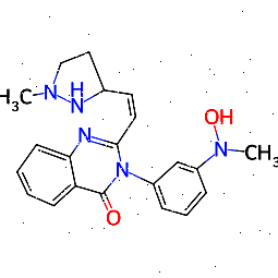 CN1CCC(/C=C\c2nc3ccccc3c(=O)n2-c2cccc(N(C)O)c2)N1